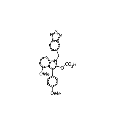 COc1ccc(-c2c(OC(=O)O)n(Cc3ccc4nsnc4c3)c3cccc(OC)c23)cc1